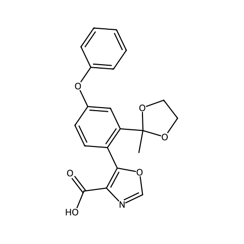 CC1(c2cc(Oc3ccccc3)ccc2-c2ocnc2C(=O)O)OCCO1